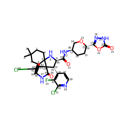 CC1(C)CCC2(CC1)N[C@@H](C(=O)N[C@@H]1CC[C@@H](c3n[nH]c(=O)o3)OC1)[C@H](c1ccnc(Cl)c1F)C21C(=O)Nc2cc(Cl)ccc21